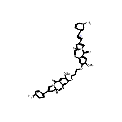 COc1cc2c(cc1OCCCOc1cc3c(cc1OC)C(=O)N1C=C(c4ccc(N)cc4)C[C@H]1C=N3)N=C[C@@H]1CC(/C=C/C3=CC(C)CC=C3)=CN1C2=O